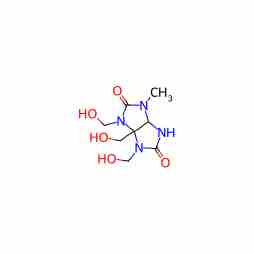 CN1C(=O)N(CO)C2(CO)C1NC(=O)N2CO